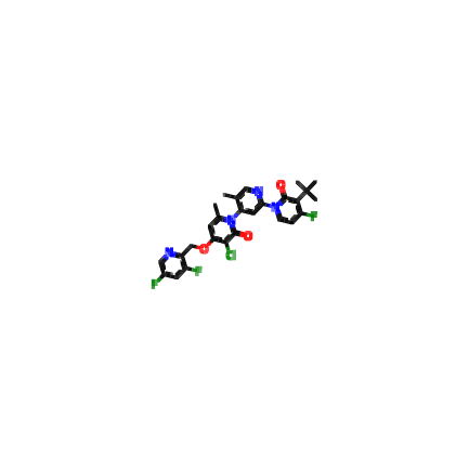 Cc1cnc(-n2ccc(F)c(C(C)(C)C)c2=O)cc1-n1c(C)cc(OCc2ncc(F)cc2F)c(Cl)c1=O